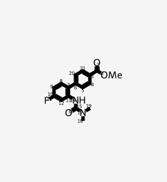 COC(=O)c1ccc(-c2ccc(F)cc2NC(=O)N(C)C)cc1